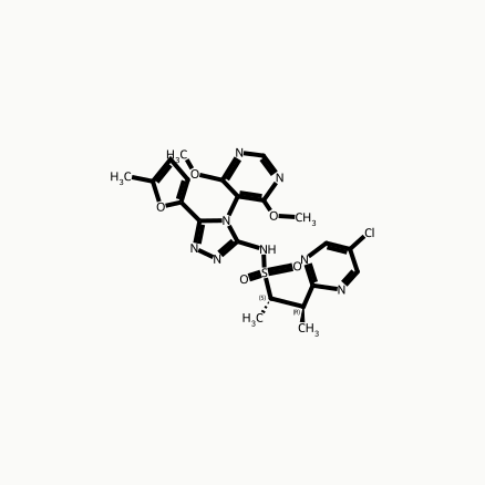 COc1ncnc(OC)c1-n1c(NS(=O)(=O)[C@@H](C)[C@H](C)c2ncc(Cl)cn2)nnc1-c1ccc(C)o1